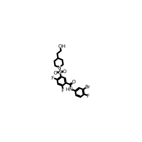 O=C(Nc1ccc(F)c(Br)c1)c1cc(S(=O)(=O)N2CCC(CCO)CC2)c(F)cc1F